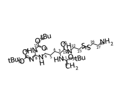 C=C(NC(CCCN/C(=N/C(=O)OC(C)(C)C)NC(=O)OC(C)(C)C)C(=O)NCCSSCCN)OC(C)(C)C